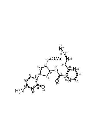 COC[C@H]1O[C@@H](n2ccc(N)nc2=O)CC1OC(=O)c1nccnc1CN=[N+]=[N-]